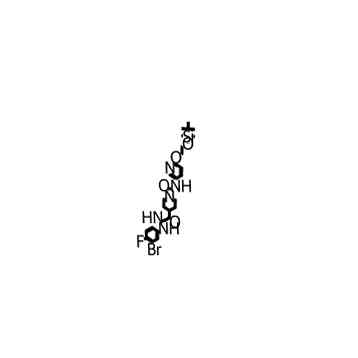 CC(C)(C)[Si](C)(C)OCCOc1ccc(NC(=O)N2CCC(C(=O)C(=N)Nc3ccc(F)c(Br)c3)CC2)cn1